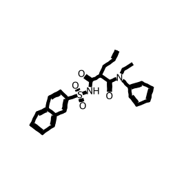 C=CCC(C(=O)NS(=O)(=O)c1ccc2ccccc2c1)C(=O)N(CC)c1ccccc1